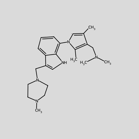 Cc1[c]n(-c2cccc3c(CN4CCN(C)CC4)c[nH]c23)c(C)c1CN(C)C